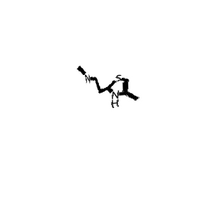 C=NCCC1NC(C)=CS1